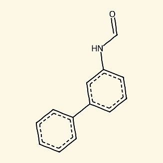 O=CNc1cccc(-c2ccccc2)c1